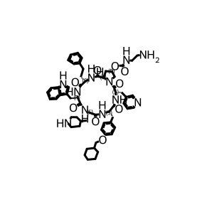 NCCNC(=O)O[C@@H]1C[C@H]2C(=O)N[C@@H](CCc3ccccc3)C(=O)N[C@H](Cc3c[nH]c4ccccc34)C(=O)N[C@@H](CC3CCNCC3)C(=O)N[C@@H](Cc3ccc(OCC4CCCCC4)cc3)C(=O)N[C@@H](Cc3cccnc3)C(=O)N2C1